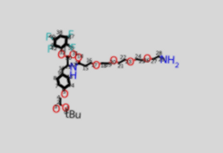 CC(C)(C)OC(=O)COc1ccc(CC(NC(=O)CCOCCOCCOCCOCCN)C(=O)Oc2c(F)c(F)cc(F)c2F)cc1